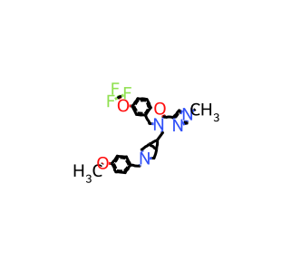 COc1ccc(CN2CC3C(C2)C3CN(Cc2cccc(OC(F)(F)F)c2)C(=O)c2cn(C)cn2)cc1